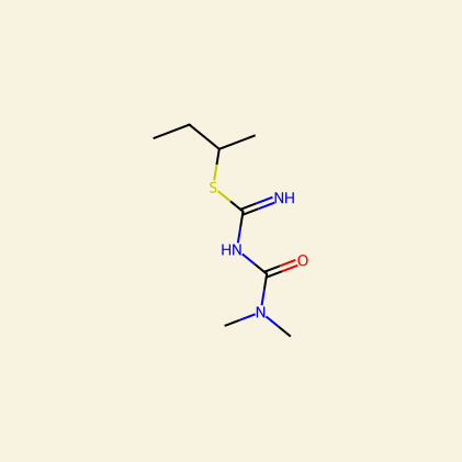 CCC(C)SC(=N)NC(=O)N(C)C